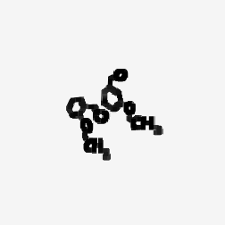 CCOc1cccc(C=O)c1.CCOc1ccccc1C=O